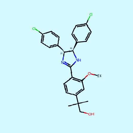 CCOc1cc(C(C)(C)CO)ccc1C1=N[C@@H](c2ccc(Cl)cc2)[C@@H](c2ccc(Cl)cc2)N1